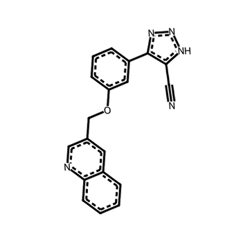 N#Cc1[nH]nnc1-c1cccc(OCc2cnc3ccccc3c2)c1